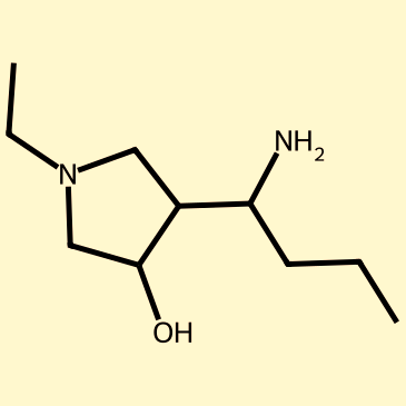 CCCC(N)C1CN(CC)CC1O